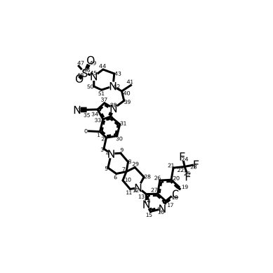 Cc1c(CN2CCC3(CC2)CCN(c2ncnc4ccc(CC(F)(F)F)cc24)CC3)ccc2c1c(C#N)cn2CC(C)N1CCN(S(C)(=O)=O)CC1